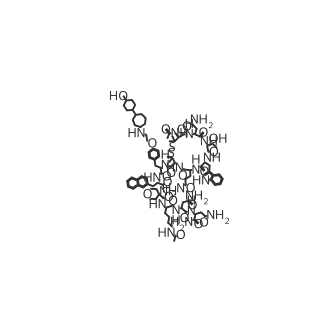 CC(=O)NCCCCC(NC(=O)C1(NC(=O)C(Cc2ccc3ccccc3c2)NC(=O)C(Cc2ccc(OCCNC3CCCC(C4CCC(O)CC4)CC3)cc2)NC(=O)C2NC(=O)C(CCC(N)=O)NC(=O)C(Cc3c[nH]c4ccccc34)NC(=O)C(C(C)O)NC(=O)C(CC(N)=O)NC(=O)C(NC(C)=O)C(C)(C)SSC2(C)C)CCOCC1)C(=O)NC(CC(N)=O)C(=O)NC(CC(N)=O)C(N)=O